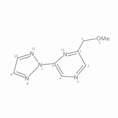 COCc1cncc(-n2nccn2)n1